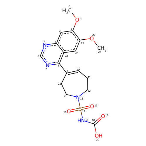 COc1cc2ncnc(C3=CCCN(S(=O)(=O)NC(=O)O)CC3)c2cc1OC